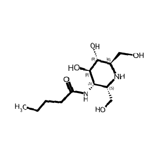 CCCCC(=O)N[C@@H]1[C@@H](O)[C@H](O)[C@@H](CO)N[C@@H]1CO